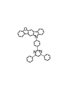 c1ccc(-c2cc(-c3ccccc3)nc(-c3ccc(-n4c5ccccc5c5cc6oc7ccccc7c6cc54)cc3)n2)cc1